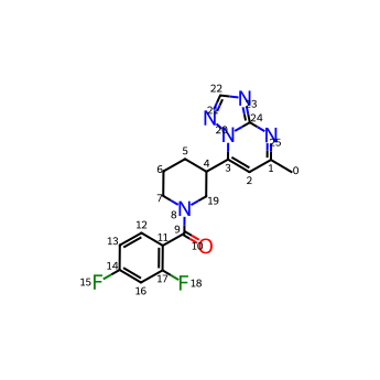 Cc1cc(C2CCCN(C(=O)c3ccc(F)cc3F)C2)n2ncnc2n1